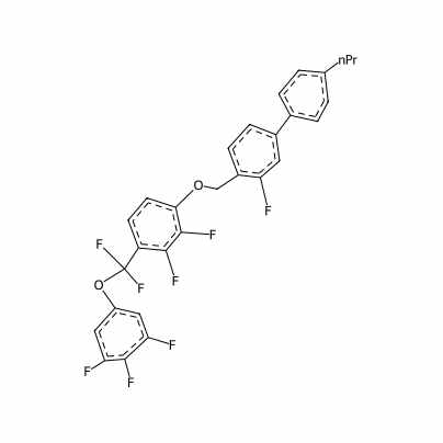 CCCc1ccc(-c2ccc(COc3ccc(C(F)(F)Oc4cc(F)c(F)c(F)c4)c(F)c3F)c(F)c2)cc1